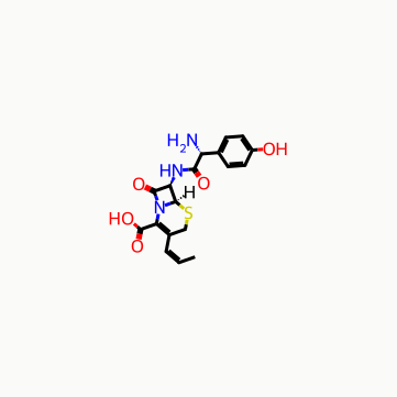 C/C=C\C1=C(C(=O)O)N2C(=O)[C@@H](NC(=O)[C@H](N)c3ccc(O)cc3)[C@H]2SC1